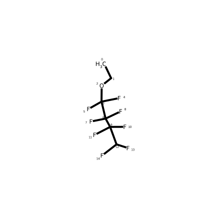 CCOC(F)(F)C(F)(F)C(F)(F)C(F)F